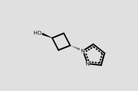 O[C@H]1C[C@H](n2c[c]cn2)C1